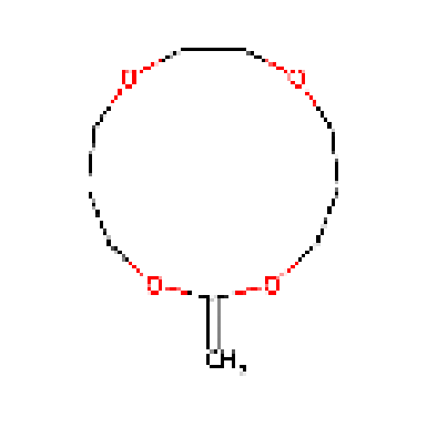 C=C1OCCCOCCOCCCO1